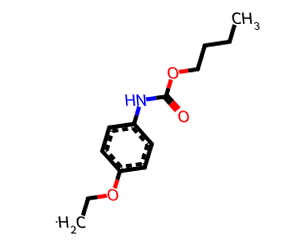 [CH2]COc1ccc(NC(=O)OCCCC)cc1